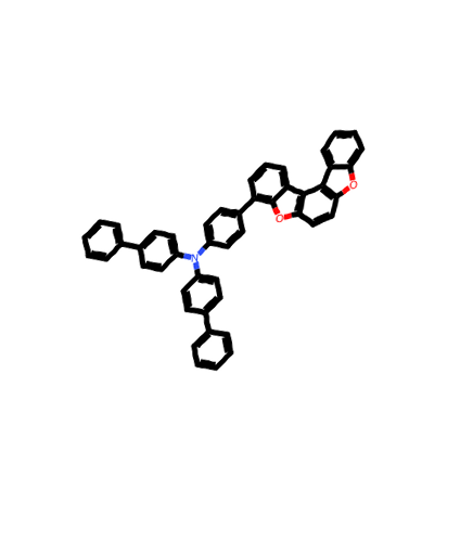 c1ccc(-c2ccc(N(c3ccc(-c4ccccc4)cc3)c3ccc(-c4cccc5c4oc4ccc6oc7ccccc7c6c45)cc3)cc2)cc1